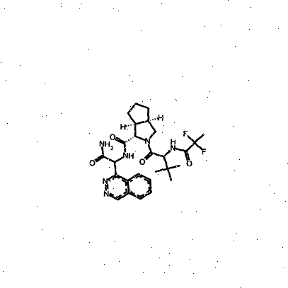 CC(F)(F)C(=O)N[C@H](C(=O)N1C[C@@H]2CCC[C@@H]2[C@H]1C(=O)NC(C(N)=O)c1nncc2ccccc12)C(C)(C)C